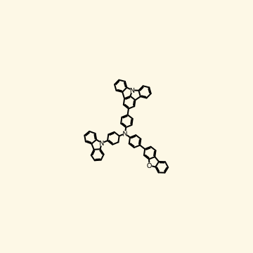 C1=CC(N(c2ccc(-c3ccc4c(c3)oc3ccccc34)cc2)c2ccc(-c3cc4c5ccccc5n5c6ccccc6c(c3)c45)cc2)CC=C1n1c2ccccc2c2ccccc21